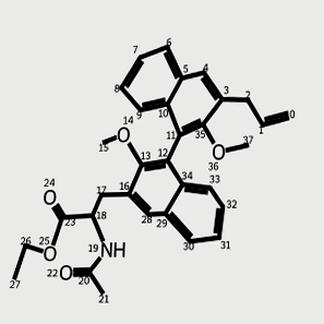 C=CCc1cc2ccccc2c(-c2c(OC)c(CC(NC(C)=O)C(=O)OCC)cc3ccccc23)c1OC